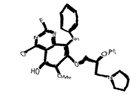 COc1c(OCC(CN2CCCC2)OC(C)=O)c(Nc2ccccc2)c2nc(F)nc(Cl)c2c1O